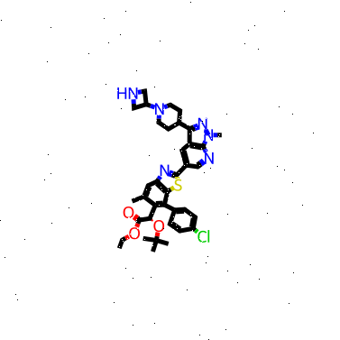 CCOC(=O)[C@@H](OC(C)(C)C)c1c(C)cc2nc(-c3cnc4c(c3)c(C3CCN(C5CNC5)CC3)nn4C)sc2c1-c1ccc(Cl)cc1